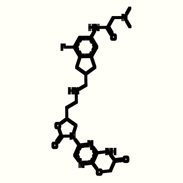 CN(C)CC(=O)Nc1cc(F)c2c(c1)CC(CNCCC1CN(c3cnc4c(n3)NC(=O)CO4)C(=O)O1)C2